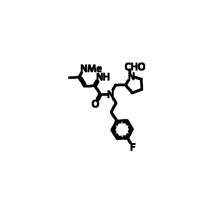 CN/C(C)=C\C(=N)C(=O)N(CCc1ccc(F)cc1)CC1CCCN1C=O